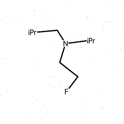 CC(C)CN(CCF)C(C)C